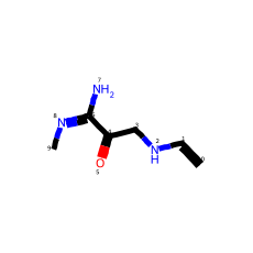 C=CNCC(=O)/C(N)=N\C